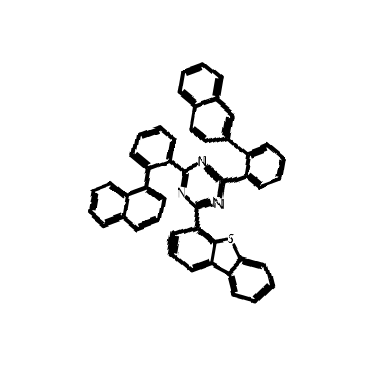 c1ccc(-c2nc(-c3ccccc3-c3cccc4ccccc34)nc(-c3cccc4c3sc3ccccc34)n2)c(-c2ccc3ccccc3c2)c1